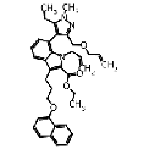 C=CCOCc1nn(C)c(CC)c1-c1cccc2c(CCCOc3cccc4ccccc34)c(C(=O)OCC)n(CC=C)c12